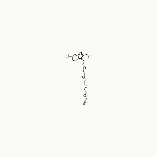 C#CCOCCOCCOCCOCCn1c(CCl)nc2cc(Cl)ccc21